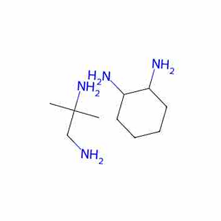 CC(C)(N)CN.NC1CCCCC1N